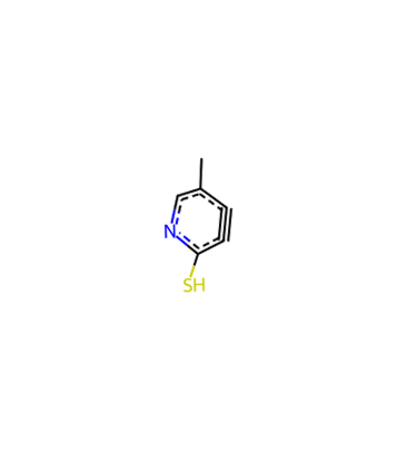 Cc1c#cc(S)nc1